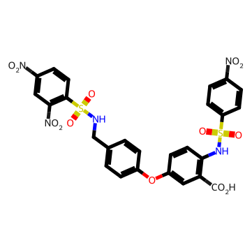 O=C(O)c1cc(Oc2ccc(CNS(=O)(=O)c3ccc([N+](=O)[O-])cc3[N+](=O)[O-])cc2)ccc1NS(=O)(=O)c1ccc([N+](=O)[O-])cc1